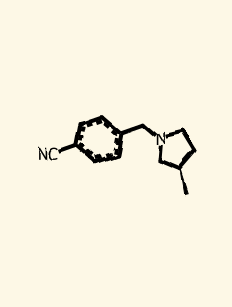 C[C@@H]1CCN(Cc2ccc(C#N)cc2)C1